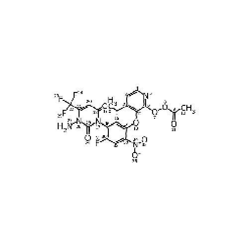 CCc1ccnc(OOC(C)=O)c1Oc1cc(-n2c(=O)cc(C(F)(F)F)n(N)c2=O)c(F)cc1[N+](=O)[O-]